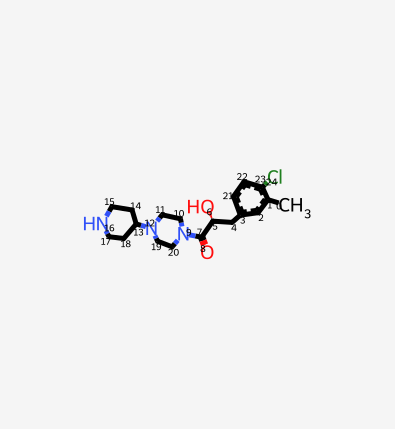 Cc1cc(C[C@@H](O)C(=O)N2CCN(C3CCNCC3)CC2)ccc1Cl